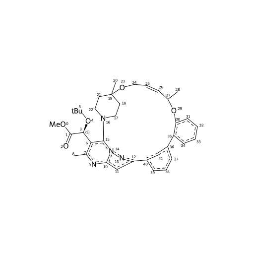 COC(=O)[C@@H](OC(C)(C)C)c1c(C)nc2cc3nn2c1N1CCC(C)(CC1)OCC=CC(C)Oc1ccccc1-c1cccc-3c1